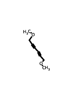 COCC#CC#CCOC